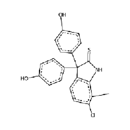 Cc1c(Cl)ccc2c1NC(=S)C2(c1ccc(O)cc1)c1ccc(O)cc1